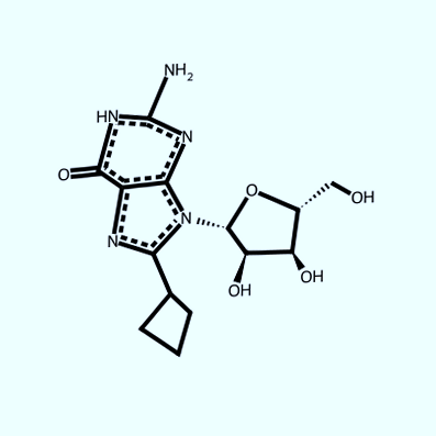 Nc1nc2c(nc(C3CCC3)n2[C@@H]2O[C@H](CO)[C@@H](O)[C@H]2O)c(=O)[nH]1